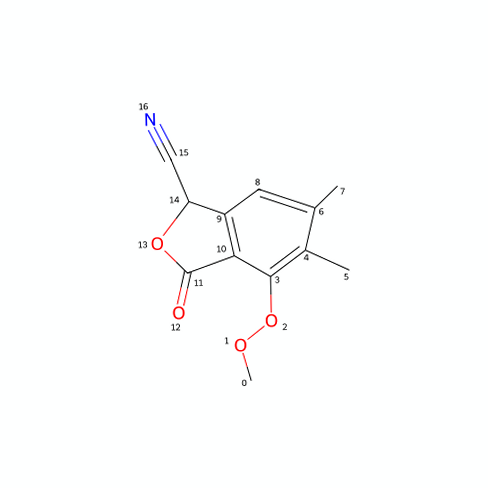 COOc1c(C)c(C)cc2c1C(=O)OC2C#N